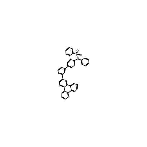 O=S1(=O)c2ccccc2-c2cc(-c3cccc(-c4ccc5c6ccccc6c6ccccc6c5c4)c3)ccc2N1c1ccccc1